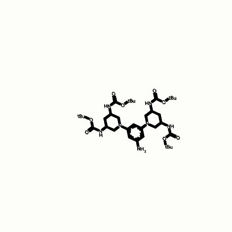 CC(C)(C)OC(=O)NC1CC(NC(=O)OC(C)(C)C)CN(c2cc(N)cc(N3CC(NC(=O)OC(C)(C)C)CC(NC(=O)OC(C)(C)C)C3)c2)C1